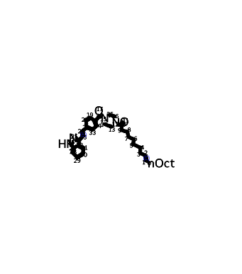 CCCCCCCC/C=C/CCCCCCCC(=O)N1CCN(C(=O)c2ccc(/C=C/c3n[nH]c4ccccc34)cc2)CC1